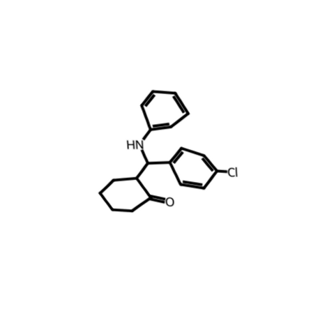 O=C1CCCCC1C(Nc1ccccc1)c1ccc(Cl)cc1